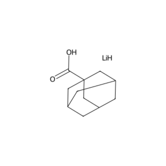 O=C(O)C12CC3CC(CC(C3)C1)C2.[LiH]